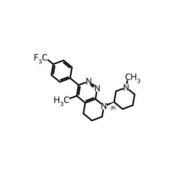 Cc1c(-c2ccc(C(F)(F)F)cc2)nnc2c1CCCN2[C@@H]1CCCN(C)C1